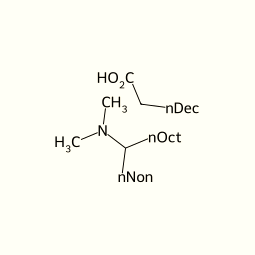 CCCCCCCCCC(CCCCCCCC)N(C)C.CCCCCCCCCCCC(=O)O